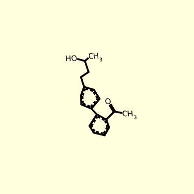 CC(=O)c1ccccc1-c1ccc(CCC(C)O)cc1